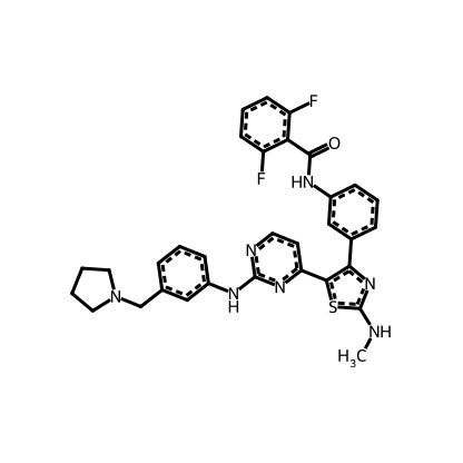 CNc1nc(-c2cccc(NC(=O)c3c(F)cccc3F)c2)c(-c2ccnc(Nc3cccc(CN4CCCC4)c3)n2)s1